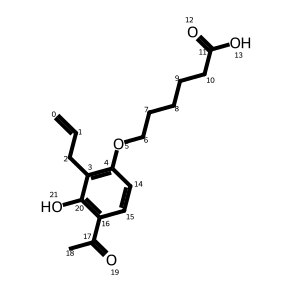 C=CCc1c(OCCCCCC(=O)O)ccc(C(C)=O)c1O